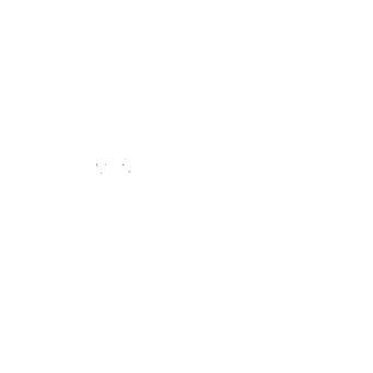 CNC(=O)Oc1cc2cc(Br)cc(OC(F)(F)F)c2o1